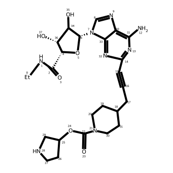 CCNC(=O)[C@H]1O[C@@H](n2cnc3c(N)nc(C#CCC4CCN(C(=O)OC5CCNC5)CC4)nc32)C(O)[C@H]1O